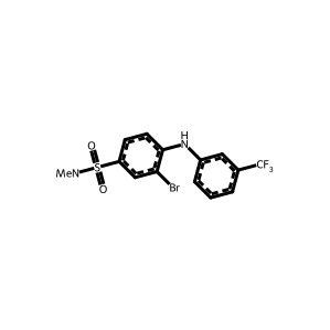 CNS(=O)(=O)c1ccc(Nc2cccc(C(F)(F)F)c2)c(Br)c1